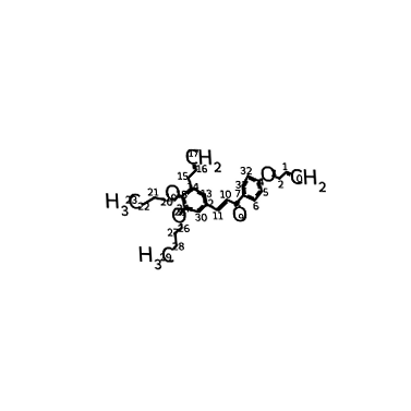 C=CCOc1ccc(C(=O)C=Cc2cc(CC=C)c(OCCCC)c(OCCCC)c2)cc1